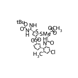 CSc1sc(C(=N)NC(=O)OC(C)(C)C)cc1S(=O)(=O)c1cccc(-c2c(C)cc(Cl)cc2NC(=O)CCCS(C)(=O)=O)c1